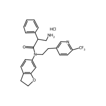 Cl.NCC(C(=O)N(CCc1ccc(C(F)(F)F)nc1)c1ccc2c(c1)OCC2)c1ccccc1